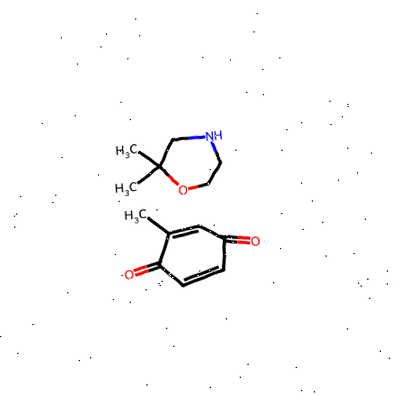 CC1(C)CNCCO1.CC1=CC(=O)C=CC1=O